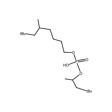 CC(CCCCOP(=O)(O)OC(C)CC(C)(C)C)CC(C)(C)C